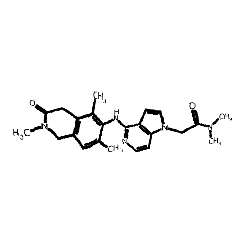 Cc1cc2c(c(C)c1Nc1nccc3c1ccn3CC(=O)N(C)C)CC(=O)N(C)C2